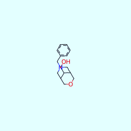 OCC1C2COCC1CN(Cc1ccccc1)C2